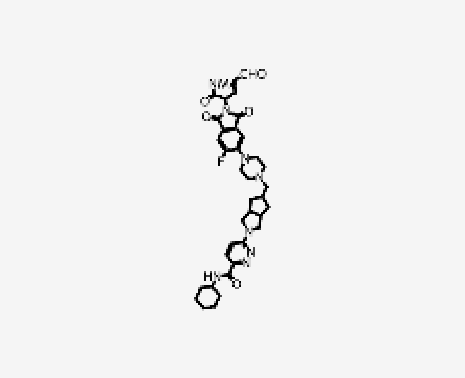 CNC(=O)C(CCC=O)N1C(=O)c2cc(F)c(N3CCN(CC4CC5CN(c6ccc(C(=O)NC7CCCCC7)nn6)CC5C4)CC3)cc2C1=O